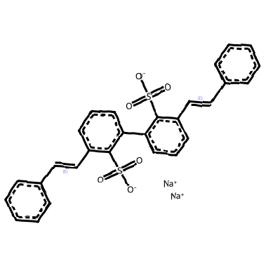 O=S(=O)([O-])c1c(/C=C/c2ccccc2)cccc1-c1cccc(/C=C/c2ccccc2)c1S(=O)(=O)[O-].[Na+].[Na+]